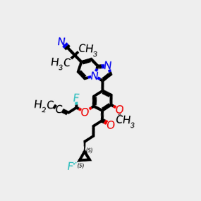 C=C=CC(F)Oc1cc(-c2cnc3cc(C(C)(C)C#N)ccn23)cc(OC)c1C(=O)CCC[C@H]1C[C@@H]1F